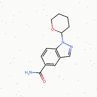 NC(=O)c1ccc2c(cnn2C2CCCCO2)c1